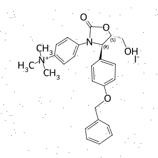 C[N+](C)(C)c1ccc(N2C(=O)O[C@H](CO)[C@H]2c2ccc(OCc3ccccc3)cc2)cc1.[I-]